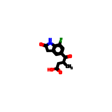 CC(CC(=O)O)C(=O)c1cc(F)c2c(c1)CC(=O)N2